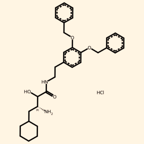 Cl.N[C@H](CC1CCCCC1)C(O)C(=O)NCCc1ccc(OCc2ccccc2)c(OCc2ccccc2)c1